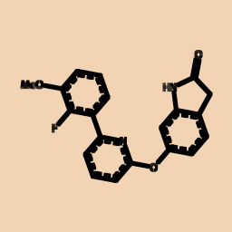 COc1cccc(-c2cccc(Oc3ccc4c(c3)NC(=O)C4)n2)c1F